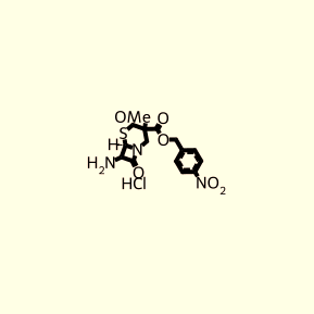 COC1(C(=O)OCc2ccc([N+](=O)[O-])cc2)CS[C@@H]2C(N)C(=O)N2C1.Cl